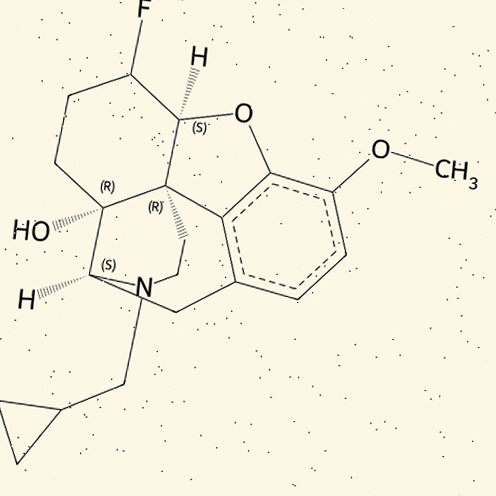 COc1ccc2c3c1O[C@@H]1C(F)CC[C@]4(O)[C@H](C2)N(CC2CC2)CC[C@@]314